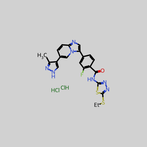 CCSc1nnc(NC(=O)c2ccc(-c3cnc4ccc(-c5c[nH]nc5C)cn34)cc2F)s1.Cl.Cl